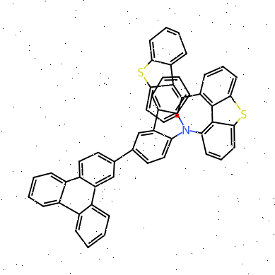 c1ccc2c(c1)sc1cccc(-c3cccc4sc5cccc(-n6c7ccccc7c7cc(-c8ccc9c%10ccccc%10c%10ccccc%10c9c8)ccc76)c5c34)c12